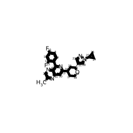 Cc1cnc2c(-c3ccc(F)cc3F)nc(C3CCO[C@@H](c4cnn(C5CC5)c4)C3)cc2n1